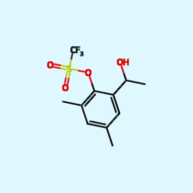 Cc1cc(C)c(OS(=O)(=O)C(F)(F)F)c(C(C)O)c1